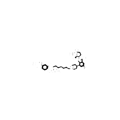 COc1ccc(N)cc1OCCCCCCCN1CCC(c2cc(F)cc3c2CN(C2CCC(=O)NC2=O)C3=O)CC1